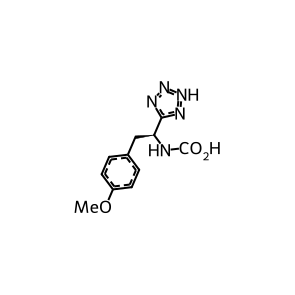 COc1ccc(C[C@H](NC(=O)O)c2nn[nH]n2)cc1